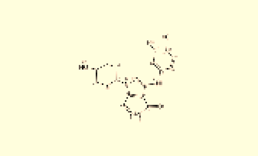 O=c1[nH]ccc2c1c(Nc1ccc(Cl)c(F)c1)nn2C1CCC(O)CC1